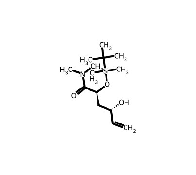 C=C[C@@H](O)C[C@H](O[Si](C)(C)C(C)(C)C)C(=O)N(C)C